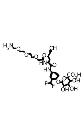 C#CCCC(NC(=O)COCCOCCOCN)C(=O)Nc1ccc(OC2OC(C(=O)O)C(O)C(O)C2O)c(C(F)F)c1